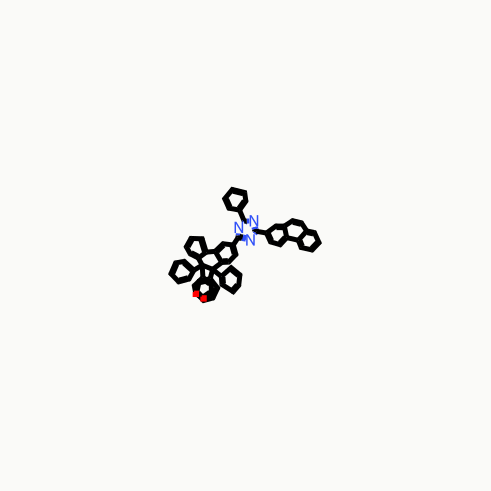 c1ccc(-c2nc(-c3ccc4c(c3)-c3ccccc3C(c3ccccc3)(c3ccccc3)C4(c3ccccc3)c3ccccc3)nc(-c3ccc4c(ccc5ccccc54)c3)n2)cc1